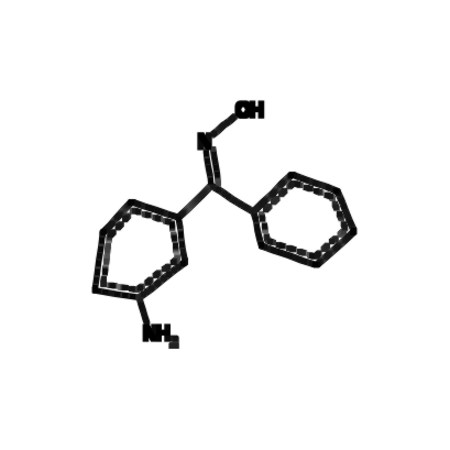 Nc1cccc(C(=NO)c2ccccc2)c1